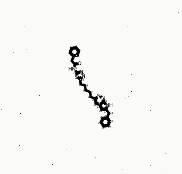 O=C(Cc1ccccc1)Nc1nnc(CCCCCc2cc3cc(Cc4ccccc4)[nH]c3nn2)s1